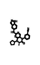 C[C@@H]1C(=O)N(c2cccc(C#N)c2)c2cnc(Nc3ccc4[nH]ncc4c3)nc2N1C1CCCC1